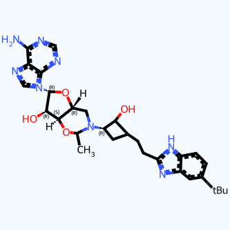 CC1O[C@H]2[C@@H](O)[C@H](n3cnc4c(N)ncnc43)O[C@@H]2CN1[C@@H]1CC(CCc2nc3cc(C(C)(C)C)ccc3[nH]2)C1O